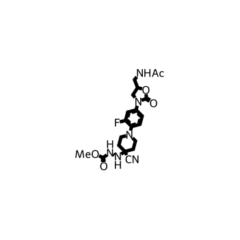 COC(=O)NNC1(C#N)CCN(c2ccc(N3CC(CNC(C)=O)OC3=O)cc2F)CC1